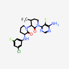 Nc1ncnc(N2CCC(C(F)(F)F)C(N3CCC[C@H](Nc4cc(F)cc(Cl)c4)C3=O)C2=O)c1F